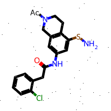 CC(=O)N1CCc2c(cc(NC(=O)Cc3ccccc3Cl)cc2SN)C1